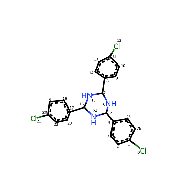 Clc1ccc(C2NC(c3ccc(Cl)cc3)NC(c3ccc(Cl)cc3)N2)cc1